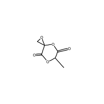 CC1OC(=O)C2(CO2)OC1=O